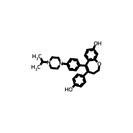 CC(C)N1CCN(c2ccc(C3=C(c4ccc(O)cc4)CCOc4cc(O)ccc43)cc2)CC1